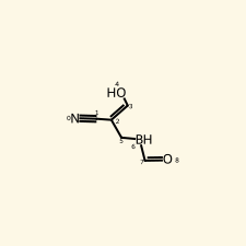 N#CC(=CO)CBC=O